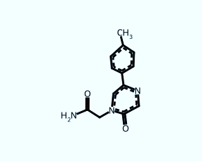 Cc1ccc(-c2cn(CC(N)=O)c(=O)cn2)cc1